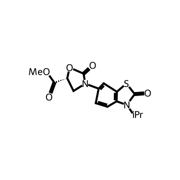 COC(=O)[C@H]1CN(c2ccc3c(c2)sc(=O)n3C(C)C)C(=O)O1